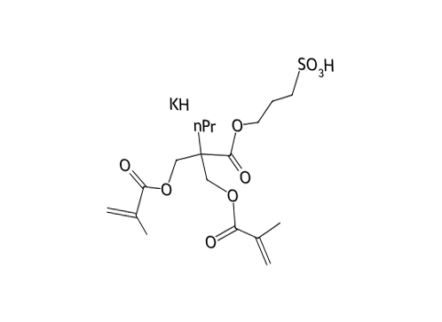 C=C(C)C(=O)OCC(CCC)(COC(=O)C(=C)C)C(=O)OCCCS(=O)(=O)O.[KH]